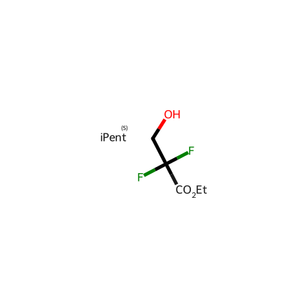 CCC[C@H](C)C(O)C(F)(F)C(=O)OCC